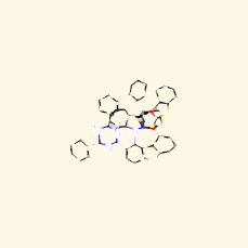 c1ccc(-c2cccc(-c3nc(-c4ccccc4)nc(-c4ccc5oc6cccc(-c7cccc8c7sc7ccccc78)c6c5c4-n4c5ccccc5c5ccccc54)n3)c2)cc1